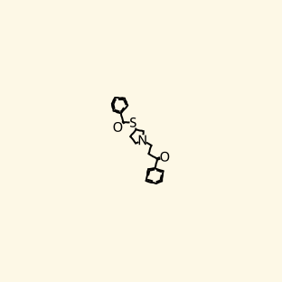 O=C(CCN1CC[C@H](SC(=O)c2ccccc2)C1)c1ccccc1